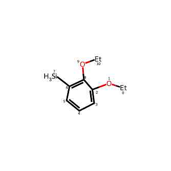 CCOc1cccc([SiH3])c1OCC